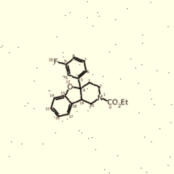 CCOC(=O)N1CCC2(c3cccc(F)c3)Oc3ccccc3C2C1